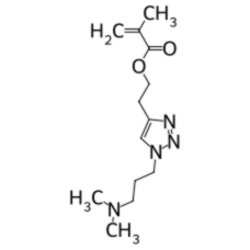 C=C(C)C(=O)OCCc1cn(CCCN(C)C)nn1